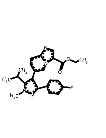 CCOC(=O)c1cnc2ccc(-c3c(-c4ccc(F)cc4)nn(C)c3C(C)C)cn12